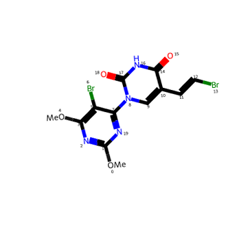 COc1nc(OC)c(Br)c(-n2cc(/C=C/Br)c(=O)[nH]c2=O)n1